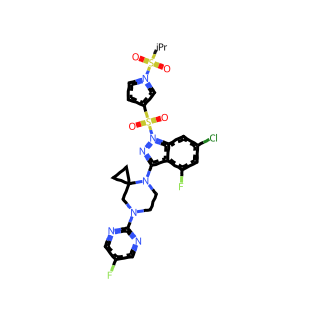 CC(C)S(=O)(=O)n1ccc(S(=O)(=O)n2nc(N3CCN(c4ncc(F)cn4)CC34CC4)c3c(F)cc(Cl)cc32)c1